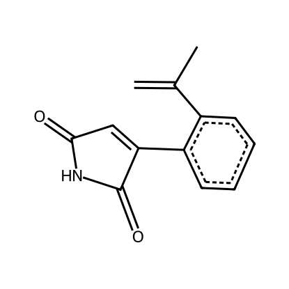 C=C(C)c1ccccc1C1=CC(=O)NC1=O